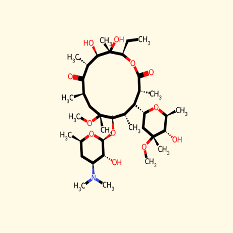 CC[C@H]1OC(=O)[C@H](C)C([C@H]2C[C@@](C)(OC)[C@@H](O)[C@H](C)O2)[C@H](C)[C@@H](O[C@@H]2O[C@H](C)C[C@H](N(C)C)[C@H]2O)[C@](C)(OC)C[C@@H](C)C(=O)[C@H](C)[C@@H](O)[C@]1(C)O